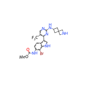 COC(=O)Nc1ccc2c(-c3nc(NC4CC5(CNC5)C4)ncc3C(F)(F)F)c[nH]c2c1Br